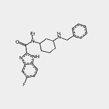 CCN(C(=O)c1nc2cc(F)ccc2[nH]1)C1CCCC(NCc2ccccc2)C1